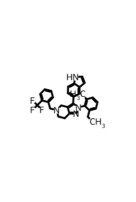 CCc1cccc(C)c1-n1nc2c(c1-c1ccc3[nH]ccc3c1)CN(Cc1ccccc1C(F)(F)F)CC2